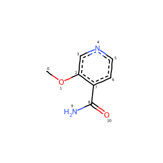 COc1cnccc1C(N)=O